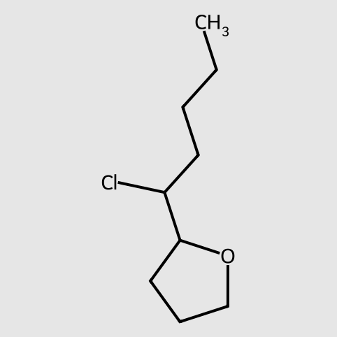 CCCCC(Cl)C1CCCO1